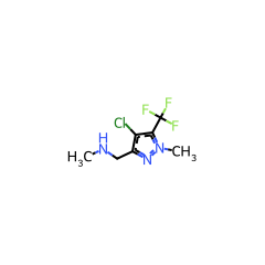 CNCc1nn(C)c(C(F)(F)F)c1Cl